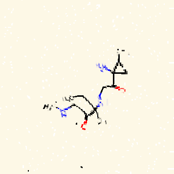 CCC(C)(NCC(=O)C1(N)CC1C)C(=O)CNC